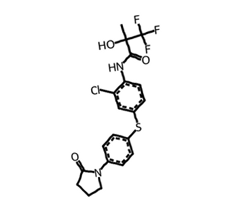 CC(O)(C(=O)Nc1ccc(Sc2ccc(N3CCCC3=O)cc2)cc1Cl)C(F)(F)F